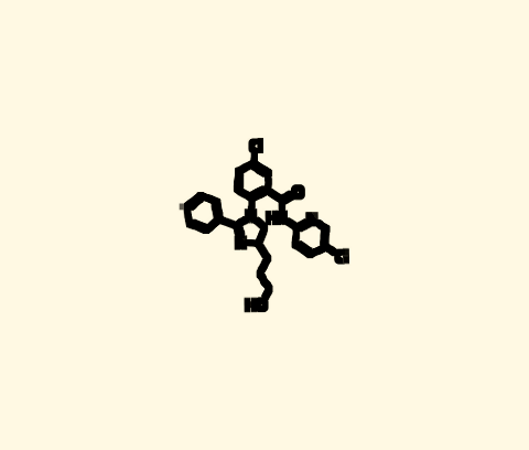 O=C(Nc1ccc(Cl)cn1)c1cc(Cl)ccc1N1CC(CCCO)N=C1c1cc[c]cc1